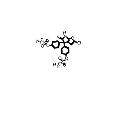 CS(=O)(=O)Oc1ccc(C2(c3ccc(OS(C)(=O)=O)cc3)C(=S)Nc3oc(Cl)cc32)cc1